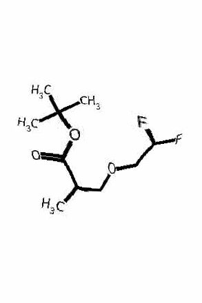 CC(COCC(F)F)C(=O)OC(C)(C)C